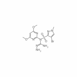 COc1cc(OC)nc(N(C(N)=NN)S(=O)(=O)c2nn(C)cc2Br)n1